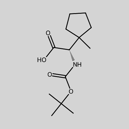 CC(C)(C)OC(=O)N[C@H](C(=O)O)C1(C)CCCC1